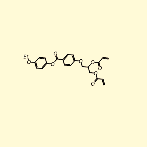 C=CC(=O)OCC(COc1ccc(C(=O)Oc2ccc(OCC)cc2)cc1)OC(=O)C=C